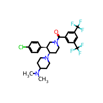 CN(C)C1CCN([C@@H]2CCN(C(=O)c3cc(C(F)(F)F)cc(C(F)(F)F)c3)C[C@@H]2c2ccc(Cl)cc2)CC1